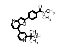 CN(C)C(=O)c1ccc(-c2cc3nccc(-c4ccnc(C(C)(C)O)c4)c3o2)cc1